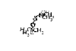 CC(C)[C@H](C)c1ccc(C2CN(CC3CN(C(C)(C)C)C3)C2)cc1